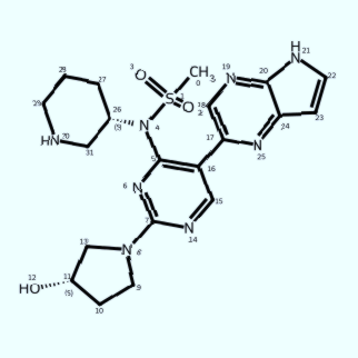 CS(=O)(=O)N(c1nc(N2CC[C@H](O)C2)ncc1-c1cnc2[nH]ccc2n1)[C@H]1CCCNC1